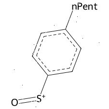 CCCCCc1ccc([S+]=O)cc1